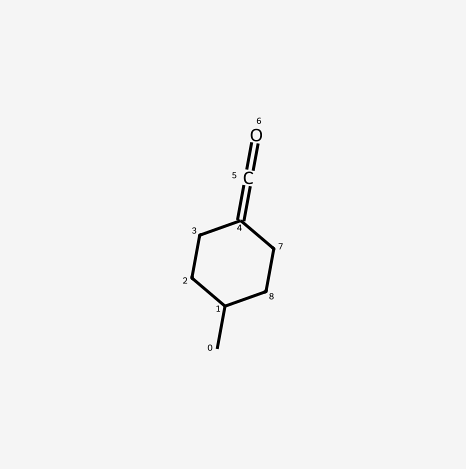 CC1CCC(=C=O)CC1